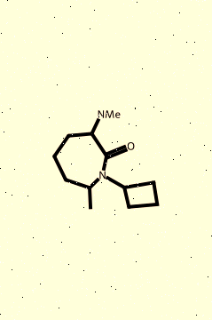 CNC1CCCC(C)N(C2CCC2)C1=O